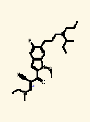 CCCN(CCCc1cc2c(cc1F)cc(C(=O)/C(C#N)=C/N(C)CC)n2SI)C(C)CC